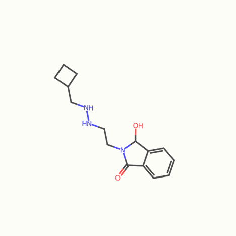 O=C1c2ccccc2C(O)N1CCNNCC1CCC1